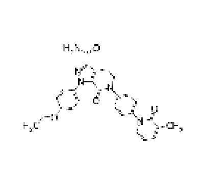 CCOc1ccc(-n2nc(C(N)=O)c3c2C(=O)N(c2ccc(-n4cccc(C)c4=O)cc2)CC3)cc1